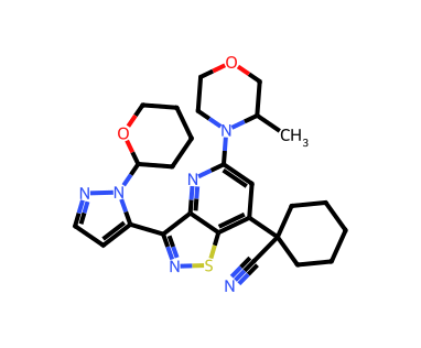 CC1COCCN1c1cc(C2(C#N)CCCCC2)c2snc(-c3ccnn3C3CCCCO3)c2n1